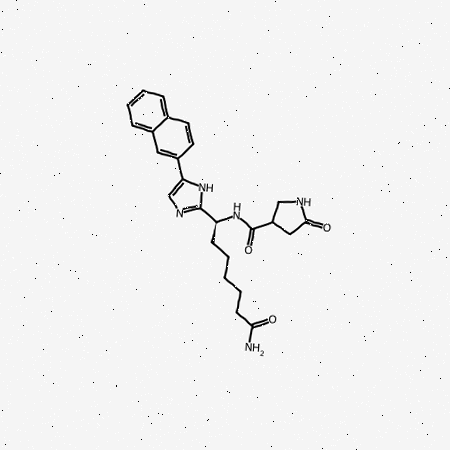 NC(=O)CCCCC[C@H](NC(=O)C1CNC(=O)C1)c1ncc(-c2ccc3ccccc3c2)[nH]1